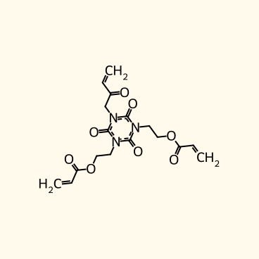 C=CC(=O)Cn1c(=O)n(CCOC(=O)C=C)c(=O)n(CCOC(=O)C=C)c1=O